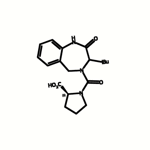 CCC(C)C1C(=O)Nc2ccccc2CN1C(=O)N1CCC[C@H]1C(=O)O